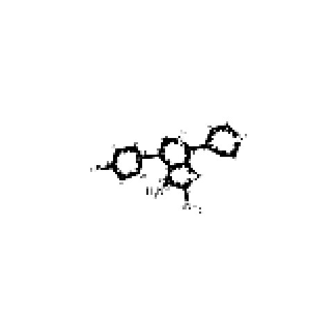 Nc1oc2c(-c3ccncc3)ncc(-c3ccc(F)cc3)c2c1N